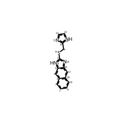 c1ccc2cc3[nH]c(SCc4ncc[nH]4)nc3cc2c1